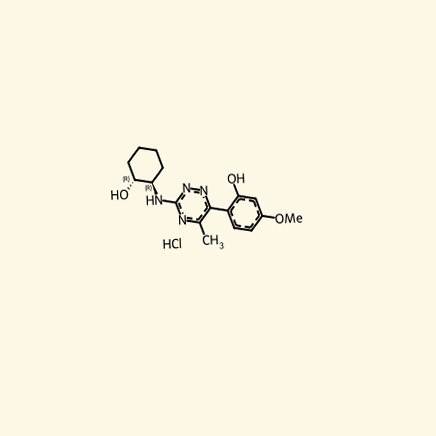 COc1ccc(-c2nnc(N[C@@H]3CCCC[C@H]3O)nc2C)c(O)c1.Cl